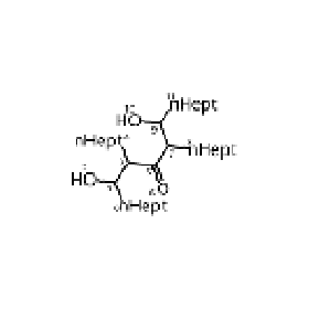 CCCCCCCC(O)C(CCCCCCC)C(=O)C(CCCCCCC)C(O)CCCCCCC